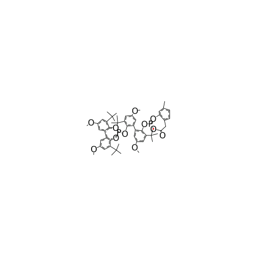 COc1cc(-c2cc(OC)cc(C(C)(C)C)c2Op2oc3c(C(C)(C)C)cc(OC)cc3c3cc(OC)cc(C(C)(C)C)c3o2)c(OP2OC(=O)Cc3ccc(C)cc3O2)c(C(C)(C)C)c1